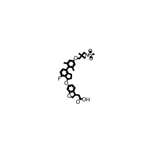 Cc1cc(OCC2(C)CN(S(C)(=O)=O)C2)cc(C)c1-c1ccc(F)c2c1CC[C@H]2Oc1ccc2c(c1)OCC2CC(=O)O